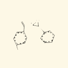 Cc1ccc(C(=O)[C@@H]2O[C@H]2c2ccccc2)cc1